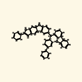 c1ccc(-c2ccc(N(c3ccc4oc5cc6oc(-c7ccccc7)nc6cc5c4c3)c3cccc4c3oc3ccccc34)cc2)cc1